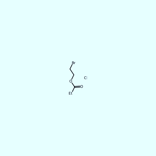 CCC(=O)OCCBr.[C]